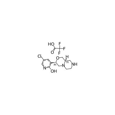 O=C(O)C(F)(F)F.Oc1ncc(Cl)cc1[C@@H]1CN2CCNC[C@H]2CO1